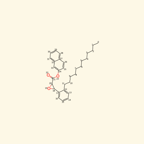 CCCCCCCCCCCCc1ccccc1C1OC1C(=O)Oc1ccc2ccccc2c1